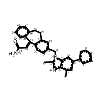 Cc1cc(-c2ccccc2)cc2c1nc(C)n2Cc1ccc2c(c1)CCc1ccccc1C2=CC(N)=O